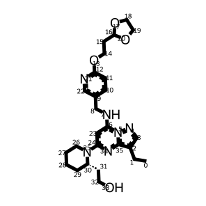 CCc1cnn2c(NCc3ccc(OCCC4OCCO4)nc3)cc(N3CCCC[C@H]3CCO)nc12